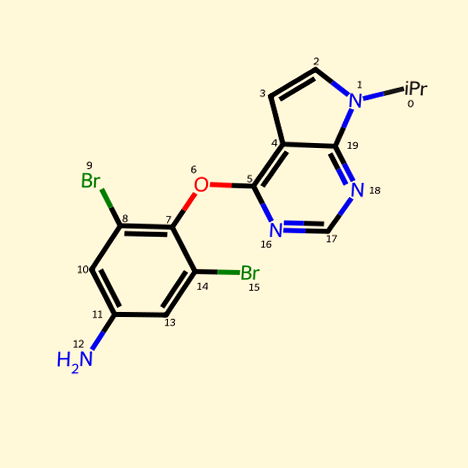 CC(C)n1ccc2c(Oc3c(Br)cc(N)cc3Br)ncnc21